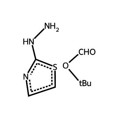 CC(C)(C)OC=O.NNc1nccs1